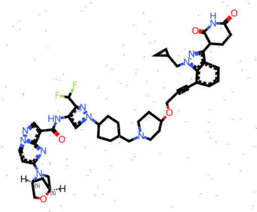 O=C1CCC(c2nn(CC3CC3)c3c(C#CCOC4CCN(CC5CCC(n6cc(NC(=O)c7cnn8ccc(N9C[C@@H]%10C[C@H]9CO%10)nc78)c(C(F)F)n6)CC5)CC4)cccc23)C(=O)N1